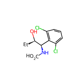 CC[C@@H](O)[C@H](NC(=O)O)c1c(Cl)cccc1Cl